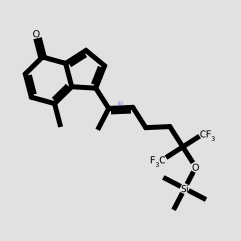 CC1=C2C(=CC=C2/C(C)=C/CCC(O[Si](C)(C)C)(C(F)(F)F)C(F)(F)F)C(=O)C=C1